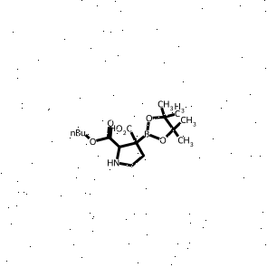 CCCCOC(=O)C1NCCC1(B1OC(C)(C)C(C)(C)O1)C(=O)O